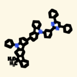 CC1(C)c2ccccc2-c2cc3c4cc(-c5ccc6c(c5)c5ccccc5n6-c5cccc(-c6nc(-c7ccccc7)cc(-c7ccccc7)n6)c5)ccc4n(-c4ccccc4)c3cc21